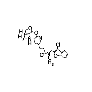 CN(Cc1oc2ccccc2c1Cl)C(=O)/C=C/c1cnc2c(c1)NC(C)(C)C(=O)O2